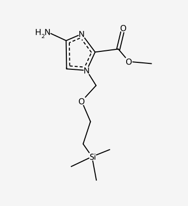 COC(=O)c1nc(N)cn1COCC[Si](C)(C)C